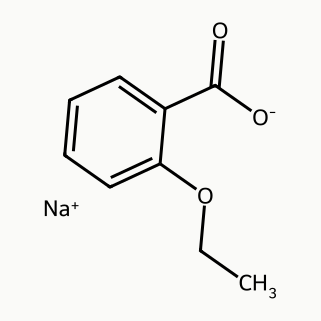 CCOc1ccccc1C(=O)[O-].[Na+]